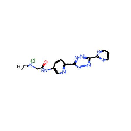 CN(Cl)CC(=O)Nc1ccc(-c2nnc(-c3ncccn3)nn2)nc1